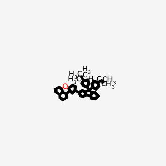 CC(C)(C)c1ccc(C2(c3ccc(C(C)(C)C)cc3)c3ccccc3-c3ccc(-c4ccc5c(c4)C4=CC=CC6C=CC=C(O5)C46)cc32)cc1